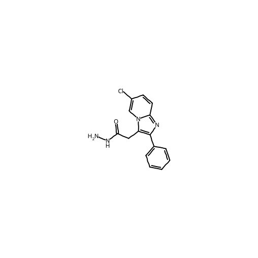 NNC(=O)Cc1c(-c2ccccc2)nc2ccc(Cl)cn12